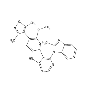 COc1cc2c(cc1-c1c(C)noc1C)[nH]c1ncnc(-n3c(C)nc4ccccc43)c12